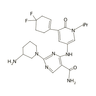 CC(C)n1cc(Nc2nc(N3CCCC(N)C3)ncc2C(N)=O)cc(C2=CCC(F)(F)CC2)c1=O